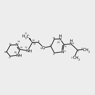 CC(C)NC1=NCC(OC[C@H](C)NC2=NCCCN2)CN1